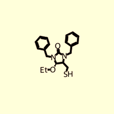 CCO[C@@H]1C(CS)N(Cc2ccccc2)C(=O)N1Cc1ccccc1